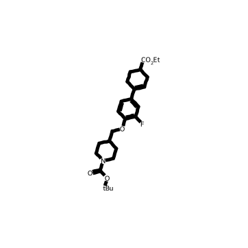 CCOC(=O)C1CC=C(c2ccc(OCC3CCN(C(=O)OC(C)(C)C)CC3)c(F)c2)CC1